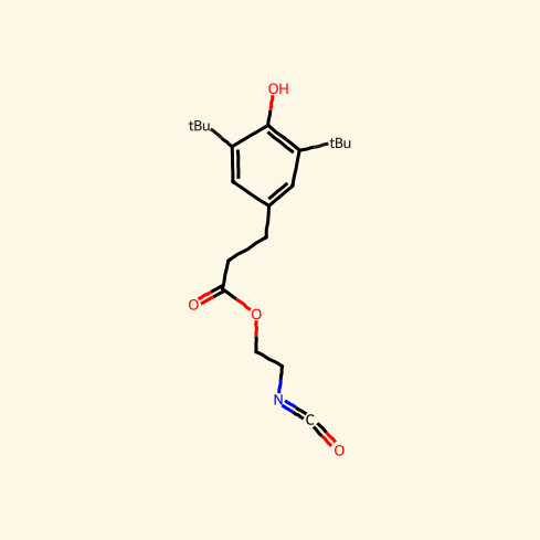 CC(C)(C)c1cc(CCC(=O)OCCN=C=O)cc(C(C)(C)C)c1O